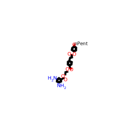 CCCCCOc1ccc(OC(=O)/C=C/c2ccc(C(=O)OCCCOC(=O)c3cc(N)cc(N)c3)cc2)cc1